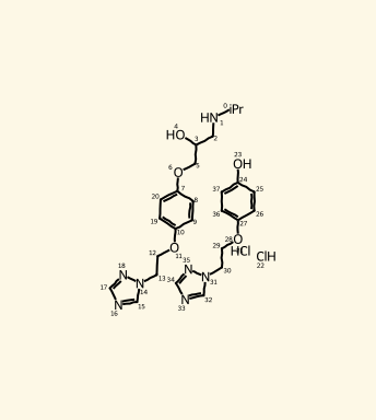 CC(C)NCC(O)COc1ccc(OCCn2cncn2)cc1.Cl.Cl.Oc1ccc(OCCn2cncn2)cc1